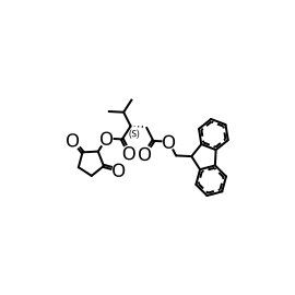 CC(C)[C@H](CC(=O)OCC1c2ccccc2-c2ccccc21)C(=O)OC1C(=O)CCC1=O